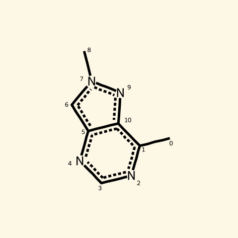 Cc1ncnc2cn(C)nc12